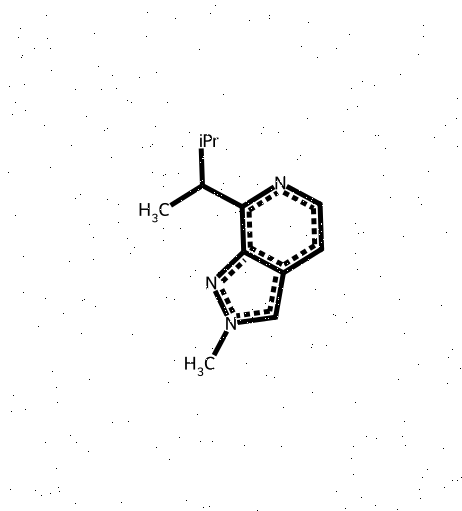 CC(C)C(C)c1nccc2cn(C)nc12